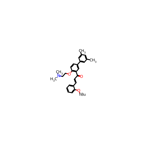 CCCCOc1ccccc1C=CC(=O)c1cc(-c2cc(C)cc(C)c2)ccc1OCCN(C)C